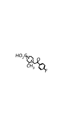 CC1CN(C(=O)O)CCN1CC(=O)c1ccc(F)cc1